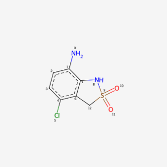 Nc1ccc(Cl)c2c1NS(=O)(=O)C2